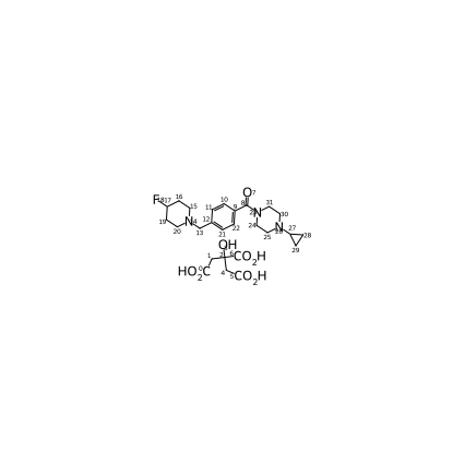 O=C(O)CC(O)(CC(=O)O)C(=O)O.O=C(c1ccc(CN2CCC(F)CC2)cc1)N1CCN(C2CC2)CC1